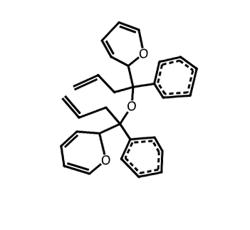 C=CCC(OC(CC=C)(c1ccccc1)C1C=CC=CO1)(c1ccccc1)C1C=CC=CO1